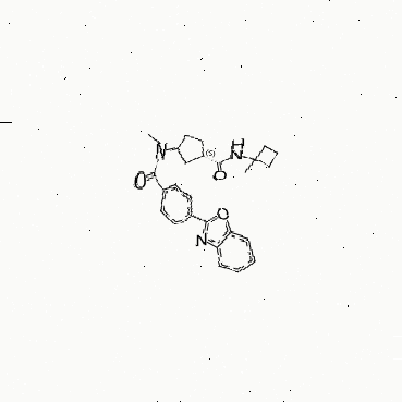 CN(C(=O)c1ccc(-c2nc3ccccc3o2)cc1)C1CC[C@H](C(=O)NC2(C)CCC2)C1